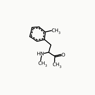 CNC(Cc1ccccc1C)C(C)=O